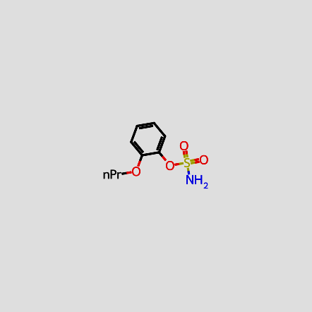 CCCOc1ccccc1OS(N)(=O)=O